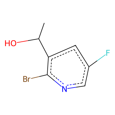 CC(O)c1cc(F)cnc1Br